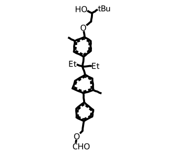 CCC(CC)(c1ccc(OCC(O)C(C)(C)C)c(C)c1)c1ccc(-c2ccc(COC=O)cc2)c(C)c1